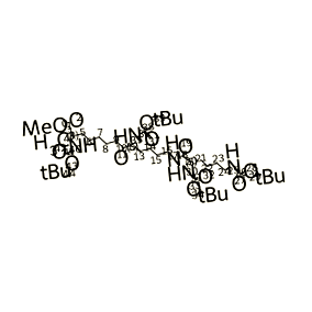 COC(=O)[C@@](C)(CCCCCC(=O)[C@H](CCCCNC(=O)[C@H](CCCCNC(=O)OC(C)(C)C)NC(=O)OC(C)(C)C)NC(=O)OC(C)(C)C)NC(=O)OC(C)(C)C